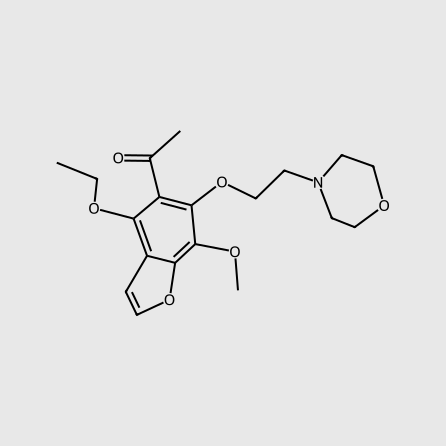 CCOc1c(C(C)=O)c(OCCN2CCOCC2)c(OC)c2occc12